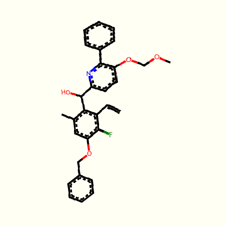 C=Cc1c(F)c(OCc2ccccc2)cc(C)c1C(O)c1ccc(OCOC)c(-c2ccccc2)n1